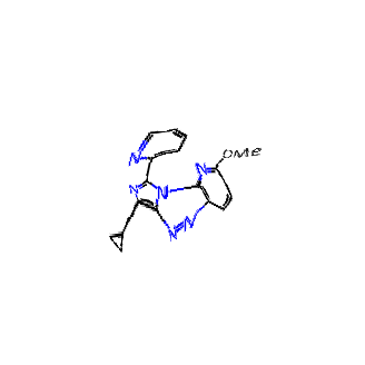 COc1ccc2nnc3c(C4CC4)nc(-c4ccccn4)n3c2n1